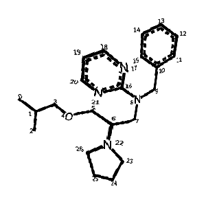 CC(C)COCC(CN(Cc1ccccc1)c1ncccn1)N1CCCC1